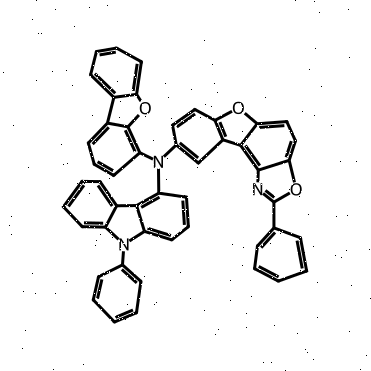 c1ccc(-c2nc3c(ccc4oc5ccc(N(c6cccc7c6oc6ccccc67)c6cccc7c6c6ccccc6n7-c6ccccc6)cc5c43)o2)cc1